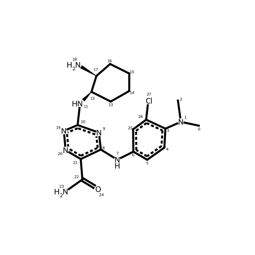 CN(C)c1ccc(Nc2nc(N[C@@H]3CCCC[C@@H]3N)nnc2C(N)=O)cc1Cl